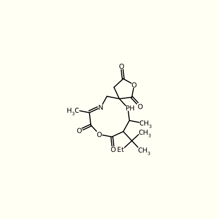 CCC(C)(C)C1C(=O)OC(=O)/C(C)=N/CC2(CC(=O)OC2=O)PC1C